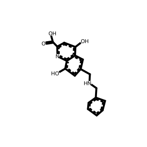 O=C(O)c1cc(O)c2cc(CNCc3ccccc3)cc(O)c2n1